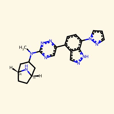 CN(c1ncc(-c2ccc(-n3cccn3)c3[nH]ncc23)nn1)C1C[C@H]2CC[C@@H](C1)N2